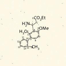 CCOC(=O)CC(N)c1c(OC)ccc(-c2ccccc2C)c1C